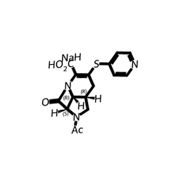 CC(=O)N1C[C@H]2CC(Sc3ccncc3)=C(C(=O)O)N3C(=O)[C@@H]1[C@@H]23.[NaH]